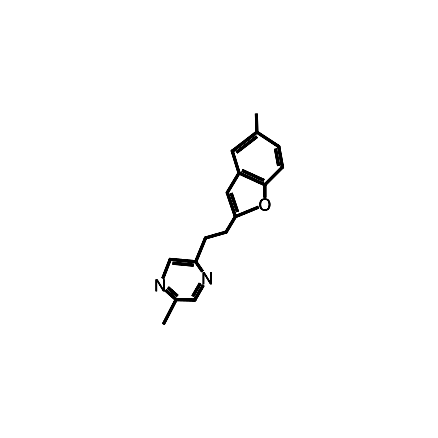 Cc1ccc2oc(CCc3cnc(C)cn3)cc2c1